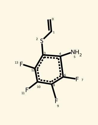 C=CSc1c(N)c(F)c(F)c(F)c1F